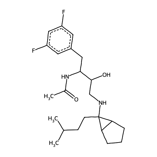 CC(=O)NC(Cc1cc(F)cc(F)c1)C(O)CNC1(CCC(C)C)C2CCCC21